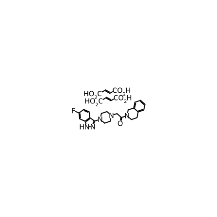 O=C(CN1CCN(c2n[nH]c3cc(F)ccc23)CC1)N1CCc2ccccc2C1.O=C(O)C=CC(=O)O.O=C(O)C=CC(=O)O